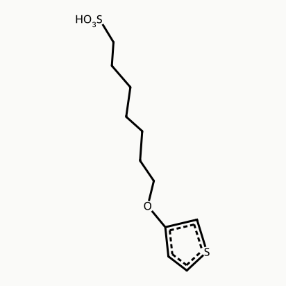 O=S(=O)(O)CCCCCCCOc1ccsc1